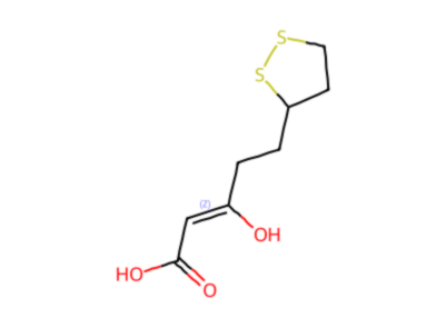 O=C(O)/C=C(\O)CCC1CCSS1